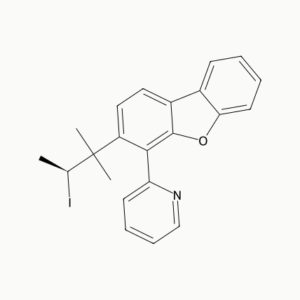 C[C@H](I)C(C)(C)c1ccc2c(oc3ccccc32)c1-c1ccccn1